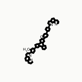 Cc1cc(-c2ccc3c(c2)c2ccccc2c2cc4c(cc32)oc2cc(-c3ccc(-c5ccc6ccc7cccnc7c6n5)cc3)ccc24)ccc1-c1ccc2ccc3cccnc3c2n1